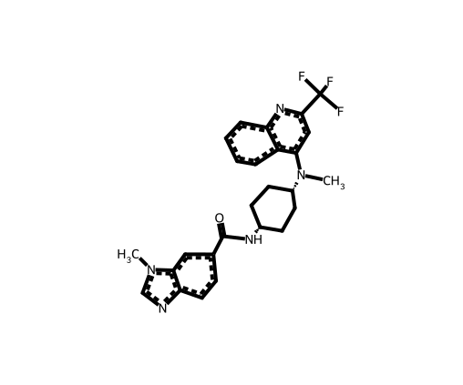 Cn1cnc2ccc(C(=O)N[C@H]3CC[C@@H](N(C)c4cc(C(F)(F)F)nc5ccccc45)CC3)cc21